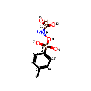 Cc1ccc(S(=O)(=O)ON[SH](=O)=O)cc1